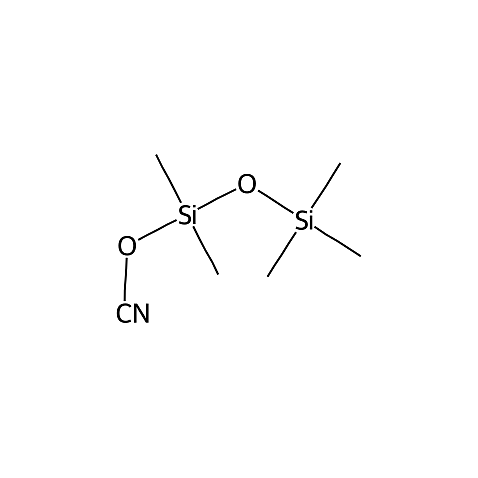 C[Si](C)(C)O[Si](C)(C)OC#N